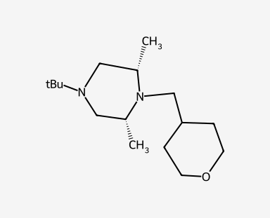 C[C@@H]1CN(C(C)(C)C)C[C@H](C)N1CC1CCOCC1